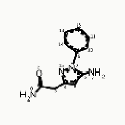 NC(=O)Cc1cc(N)n(-c2ccccc2)n1